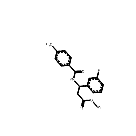 Cc1ccc(C(=O)NC(CC(=O)OC(C)C)c2cccc(F)c2)cc1